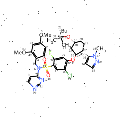 COc1ccc(CN(c2ccncn2)S(=O)(=O)c2cc(Cl)c(O[C@H]3C[C@H](O[Si](C)(C)C(C)(C)C)CC[C@@H]3c3ccnn3C)cc2F)c(OC)c1